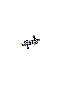 FC1C=CC(C2=CC(C3C=CC=CC3)CC(N(C3=C4C=CCCC4CC=C3)C3C=CC4=C5C6=C(CC4)C(N(C4=C7C=CCCC7CC=C4)c4cc(C7=CCC(F)C=C7)cc(C7C=CC=CC7)c4)=CCC6CCC53)=C2)=CC1